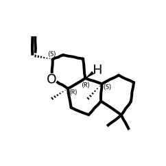 C=C[C@@H]1CC[C@H]2[C@@](C)(CCC3C(C)(C)CCC[C@@]32C)O1